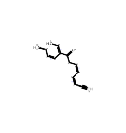 C#C/C=C\C=C/CC(=O)C(/C=C\C=C)=C/C